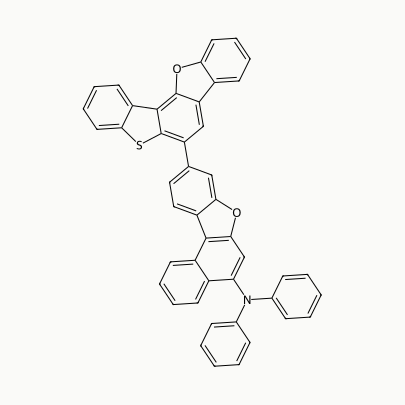 c1ccc(N(c2ccccc2)c2cc3oc4cc(-c5cc6c7ccccc7oc6c6c5sc5ccccc56)ccc4c3c3ccccc23)cc1